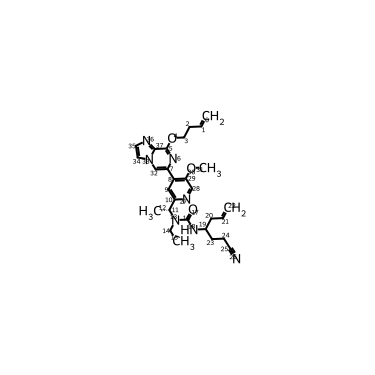 C=CCCOc1nc(-c2cc([C@@H](C)N(CC)C(=O)NC(CC=C)CCC#N)ncc2OC)cn2ccnc12